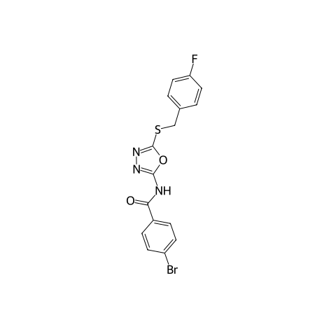 O=C(Nc1nnc(SCc2ccc(F)cc2)o1)c1ccc(Br)cc1